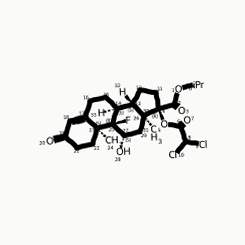 CC(C)OC(=O)[C@@]1(OC(=O)C(Cl)Cl)CC[C@H]2[C@@H]3CCC4=CC(=O)CC[C@]4(C)[C@@]3(F)[C@@H](O)C[C@@]21C